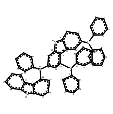 c1ccc(N(c2ccccc2)c2ccc3sc4cc(N(c5ccccc5)c5cccc6sc7ccccc7c56)cc(N(c5ccccc5)c5ccccc5)c4c3c2)cc1